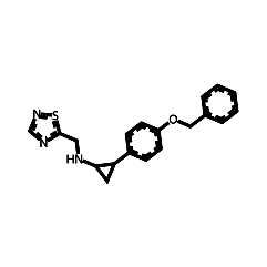 c1ccc(COc2ccc(C3CC3NCc3ncns3)cc2)cc1